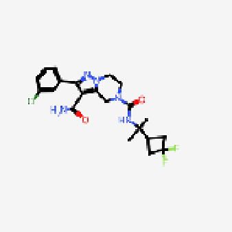 CC(C)(NC(=O)N1CCn2nc(-c3cccc(Cl)c3)c(C(N)=O)c2C1)C1CC(F)(F)C1